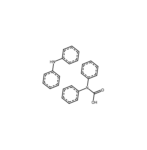 O=C(O)N(c1ccccc1)c1ccccc1.c1ccc(Nc2ccccc2)cc1